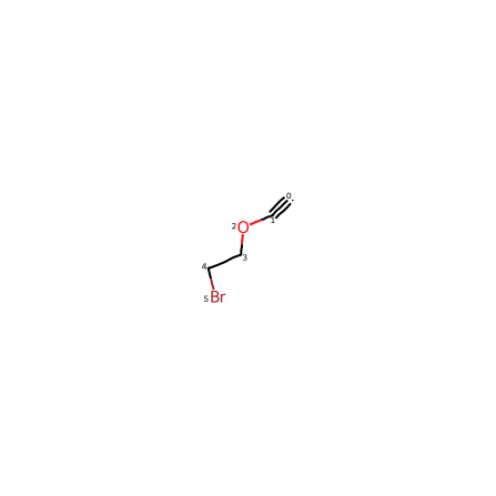 [C]#COCCBr